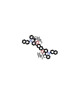 CC1(C)c2ccccc2N(c2ccc3ccccc3c2)c2ccc3c(oc4cc5cc6c(cc5cc43)oc3c4c(ccc36)N(c3ccc5ccccc5c3)c3ccccc3C4(C)C)c21